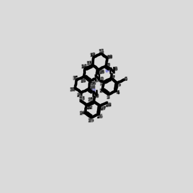 Cc1cccc(C)c1/N=C1/CCCc2cc3c(nc21)/C(=N/c1c(C)cccc1C)CCC3